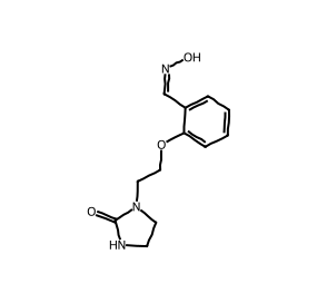 O=C1NCCN1CCOc1ccccc1/C=N\O